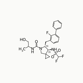 CC(CO)NC(=O)N1CC2(CC2)[C@H](NS(=O)(=O)C(F)F)[C@@H]1Cc1cccc(-c2ccccc2)c1F